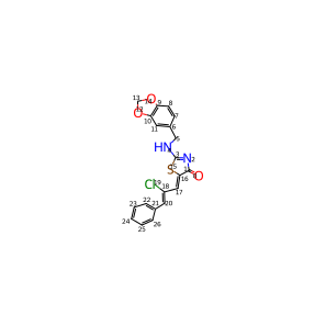 O=C1N=C(NCc2ccc3c(c2)OCO3)SC1=CC(Cl)=Cc1ccccc1